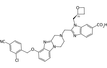 N#Cc1ccc(COc2cccc3c2nc2n3CCN(Cc3nc4ccc(C(=O)O)cc4n3C[C@@H]3CCO3)C2)c(Cl)c1